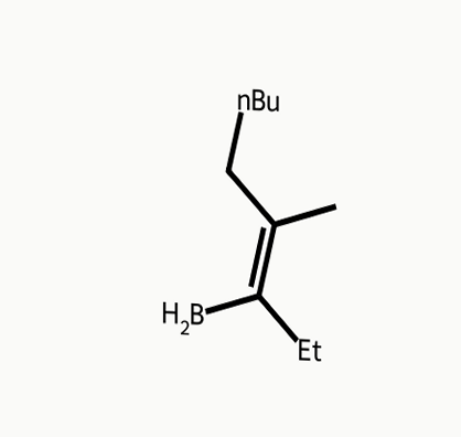 B/C(CC)=C(/C)CCCCC